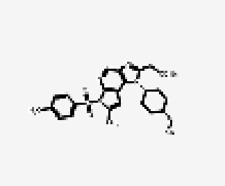 CCOC(=O)Cc1nc2cnc3c(cc(C)n3S(=O)(=O)c3ccc(C)cc3)c2n1[C@H]1CC[C@H](CC#N)CC1